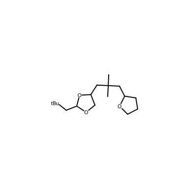 CC(C)(C)CC1OCC(CC(C)(C)CC2CCCO2)O1